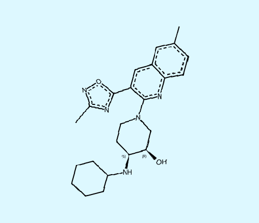 Cc1ccc2nc(N3CC[C@H](NC4CCCCC4)[C@H](O)C3)c(-c3nc(C)no3)cc2c1